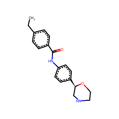 CCc1ccc(C(=O)Nc2ccc([C@@H]3CNCCO3)cc2)cc1